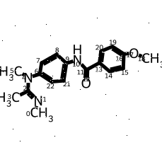 CN=C(C)N(C)c1ccc(NC(=O)c2ccc(OC)cc2)cc1